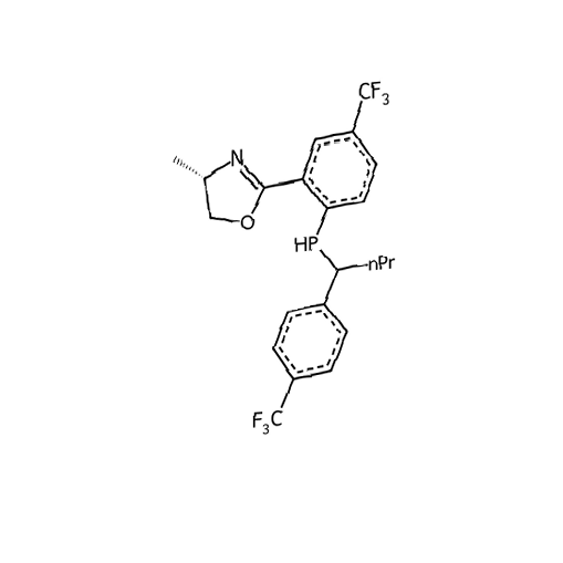 CCCC(Pc1ccc(C(F)(F)F)cc1C1=N[C@@H](C)CO1)c1ccc(C(F)(F)F)cc1